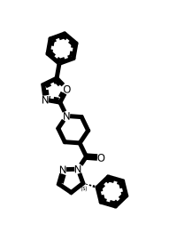 O=C(C1CCN(c2ncc(-c3ccccc3)o2)CC1)N1N=CC[C@H]1c1ccccc1